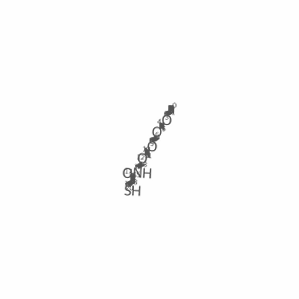 C=CCOCCOCCOCCOCCNC(=O)CCS